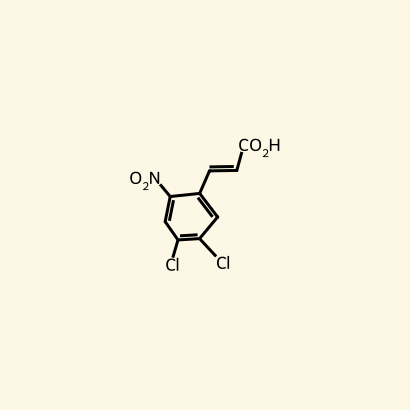 O=C(O)/C=C/c1cc(Cl)c(Cl)cc1[N+](=O)[O-]